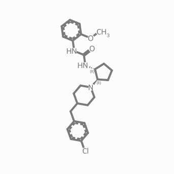 COc1ccccc1NC(=O)N[C@@H]1CCC[C@H]1N1CCC(Cc2ccc(Cl)cc2)CC1